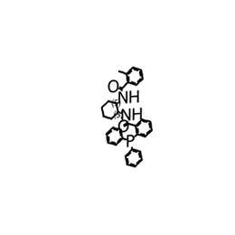 Cc1ccccc1C(=O)N[C@H]1CCCC[C@@H]1NC(=O)c1ccccc1P(c1ccccc1)c1ccccc1